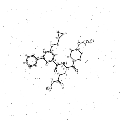 CCOC(=O)ON1CCN(C(=O)[C@H](CCC(=O)OC(C)(C)C)NC(=O)c2cc(OCC3CC3)nc(-c3ccccc3)n2)CC1